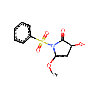 CC(C)OC1CC(O)C(=O)N1S(=O)(=O)c1ccccc1